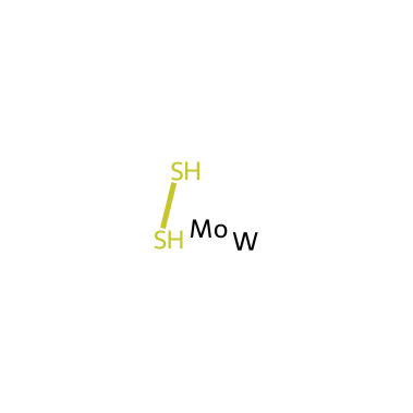 SS.[Mo].[W]